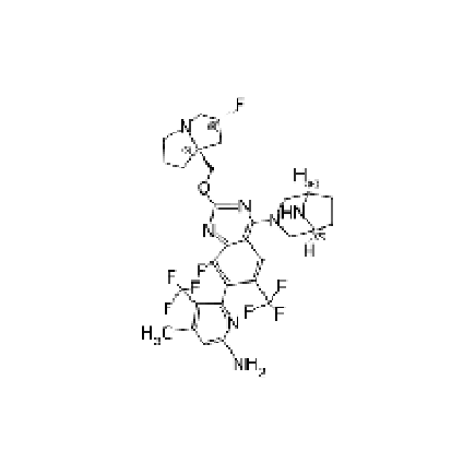 Cc1cc(N)nc(-c2c(C(F)(F)F)cc3c(N4C[C@H]5CC[C@@H](C4)N5)nc(OC[C@@]45CCCN4C[C@H](F)C5)nc3c2F)c1C(F)(F)F